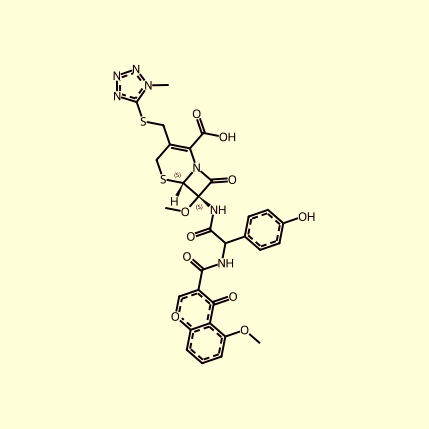 COc1cccc2occ(C(=O)NC(C(=O)N[C@]3(OC)C(=O)N4C(C(=O)O)=C(CSc5nnnn5C)CS[C@H]43)c3ccc(O)cc3)c(=O)c12